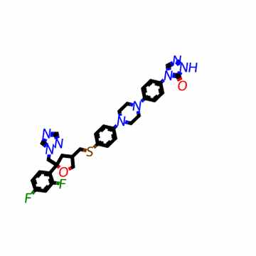 O=c1[nH]ncn1-c1ccc(N2CCN(c3ccc(SCC4COC(Cn5cncn5)(c5ccc(F)cc5F)C4)cc3)CC2)cc1